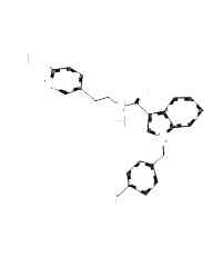 Cc1ccc(CCNC(=O)c2cn(Cc3ccc(Cl)cc3)c3ccccc23)cn1